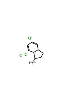 [Cl-].[Cl-].[Cl-].[Hf+3][CH]1CCC2C=CC=CC12